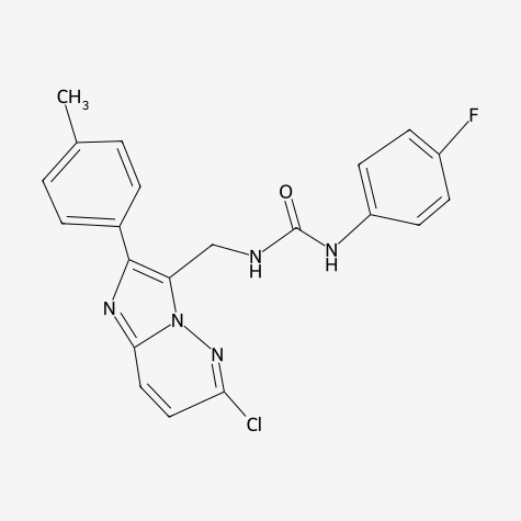 Cc1ccc(-c2nc3ccc(Cl)nn3c2CNC(=O)Nc2ccc(F)cc2)cc1